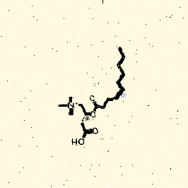 CCCCC/C=C\CCC(=O)O[C@H](CC(=O)O)C[N+](C)(C)C